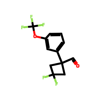 O=CC1(c2cccc(OC(F)(F)F)c2)CC(F)(F)C1